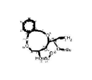 C=C[C@@H](OCCCC)C1OCc2ccccc2COCC(O)[C@H]1OCCCC